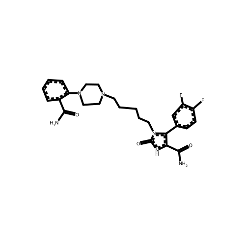 NC(=O)c1ccccc1N1CCN(CCCCCn2c(-c3ccc(F)c(F)c3)c(C(N)=O)[nH]c2=O)CC1